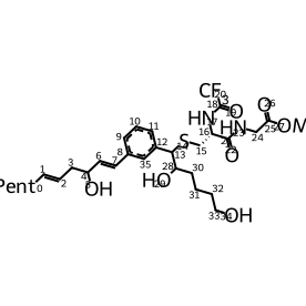 CCCCC/C=C/CC(O)/C=C/c1cccc(C(SC[C@H](NC(=O)C(F)(F)F)C(=O)NCC(=O)OC)C(O)CCCCO)c1